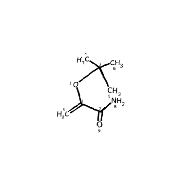 C=C(OC(C)(C)C)C(N)=O